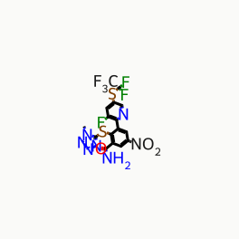 Cn1nnnc1Sc1c(C(N)=O)cc([N+](=O)[O-])cc1-c1ncc(SC(F)(F)C(F)(F)F)cc1F